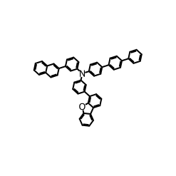 c1ccc(-c2ccc(-c3ccc(N(c4cccc(-c5ccc6ccccc6c5)c4)c4cccc(-c5cccc6c5oc5ccccc56)c4)cc3)cc2)cc1